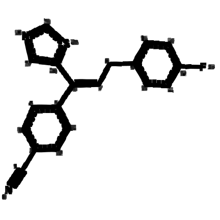 N#Cc1ccc(C(=CCc2ccc(F)cc2)c2cncs2)cc1